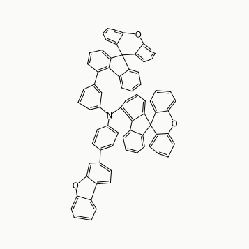 c1cc(-c2cccc3c2-c2ccccc2C32c3ccccc3Oc3ccccc32)cc(N(c2ccc(-c3ccc4c(c3)oc3ccccc34)cc2)c2cccc3c2-c2ccccc2C32c3ccccc3Oc3ccccc32)c1